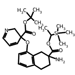 CC(OC(=O)C1(N)CCc2cccc(OC3(C(=O)OC(C)(C)C)C=CC=NC3)c2C1)[Si](C)(C)C